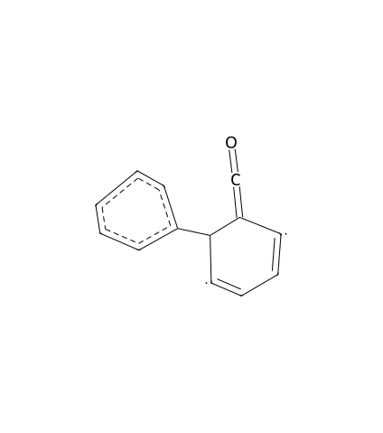 O=C=C1[C]=CC=[C]C1c1ccccc1